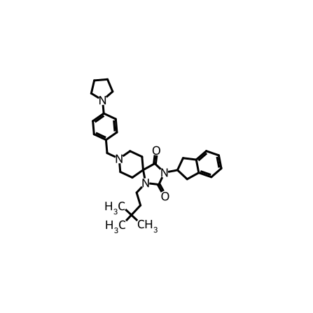 CC(C)(C)CCN1C(=O)N(C2Cc3ccccc3C2)C(=O)C12CCN(Cc1ccc(N3CCCC3)cc1)CC2